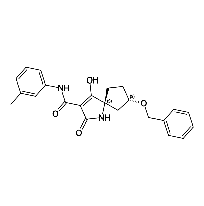 Cc1cccc(NC(=O)C2=C(O)[C@@]3(CC[C@H](OCc4ccccc4)C3)NC2=O)c1